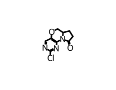 O=C1CCC2COc3cnc(Cl)nc3N12